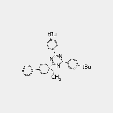 C=CC1(c2nc(-c3ccc(C(C)(C)C)cc3)nc(-c3ccc(C(C)(C)C)cc3)n2)C=CC(c2ccccc2)=CC1